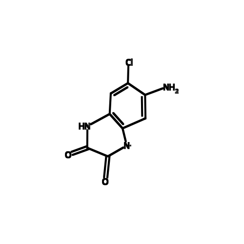 Nc1cc2c(cc1Cl)NC(=O)C(=O)[N]2